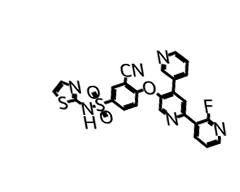 N#Cc1cc(S(=O)(=O)Nc2nccs2)ccc1Oc1cnc(-c2cccnc2F)cc1-c1cccnc1